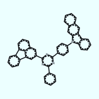 c1ccc(-c2nc(-c3ccc(-n4c5ccccc5c5cc6ccccc6cc54)cc3)nc(-c3cc4c5c(cccc5c3)-c3ccccc3-4)n2)cc1